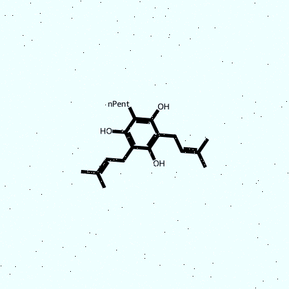 CCCCCc1c(O)c(CC=C(C)C)c(O)c(CC=C(C)C)c1O